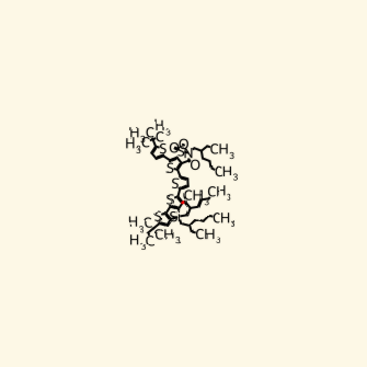 CCCCC(CC)CN1C(=O)c2c(-c3ccc(-c4cc5c(s4)-c4sc(C(C)(C)CC)cc4[Si]5(CC(CC)CCCC)CC(CC)CCCC)s3)sc(-c3ccc(C(C)(C)C)s3)c2S1(=O)=O